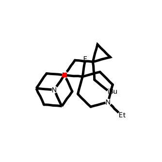 CCC(C)CC1(CN2CC3CC(C2)N3CC2(F)CCN(CC)CC2)CC1